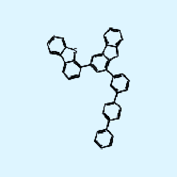 c1ccc(-c2ccc(-c3cccc(-c4cc(-c5cccc6c5sc5ccccc56)cc5c4Cc4ccccc4-5)c3)cc2)cc1